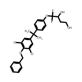 CC(C)(c1ccc(OC(F)(F)C(O)CCO)cc1)c1cc(Cl)c(OCc2ccccc2)c(Cl)c1